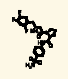 N[C@@H](CC(=O)N1CCSC1C(=O)Nc1ccc(S(N)(=O)=O)cc1)Cc1cc(F)c(F)cc1F